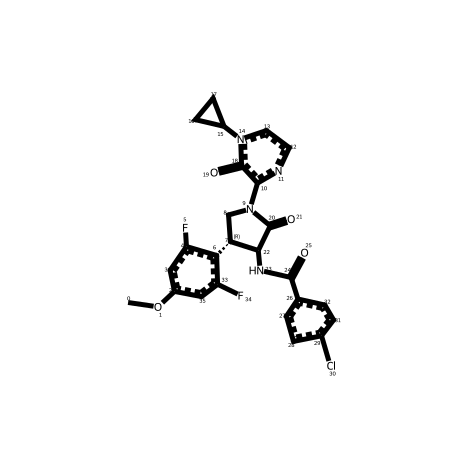 COc1cc(F)c([C@@H]2CN(c3nccn(C4CC4)c3=O)C(=O)C2NC(=O)c2ccc(Cl)cc2)c(F)c1